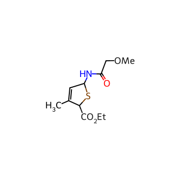 CCOC(=O)C1SC(NC(=O)COC)C=C1C